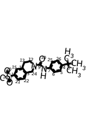 CC(C)(C)c1ccc(NC(=O)N2CCc3cc(S(C)(=O)=O)ccc3C2)cc1